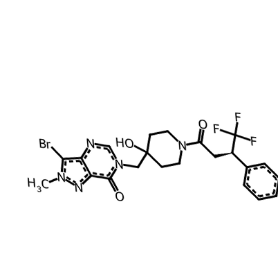 Cn1nc2c(=O)n(CC3(O)CCN(C(=O)C[C@H](c4ccccc4)C(F)(F)F)CC3)cnc2c1Br